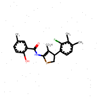 Cc1ccc(C2CSC(NC(=O)c3cc(C(F)(F)F)ccc3O)=C2C(=O)O)c(F)c1C